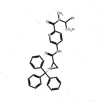 CC(C)C(C(=O)O)N(C)C(=O)c1ccc(NC(=O)C2C[N@]2C(c2ccccc2)(c2ccccc2)c2ccccc2)cn1